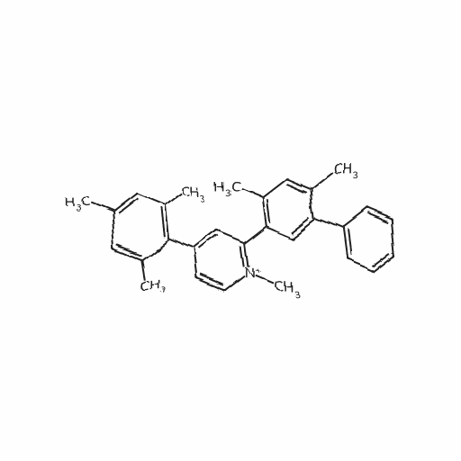 Cc1cc(C)c(-c2cc[n+](C)c(-c3cc(-c4ccccc4)c(C)cc3C)c2)c(C)c1